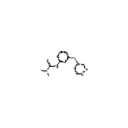 CN(C)C(=S)Nc1cccc(Sc2ccnnc2)c1